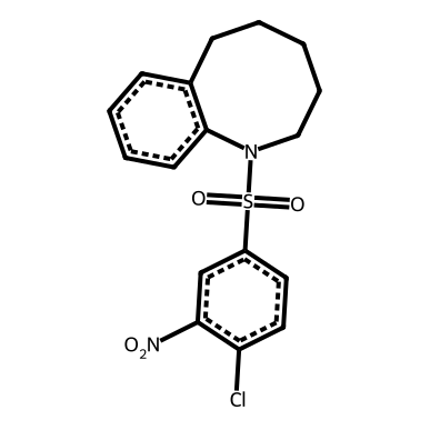 O=[N+]([O-])c1cc(S(=O)(=O)N2CCCCCc3ccccc32)ccc1Cl